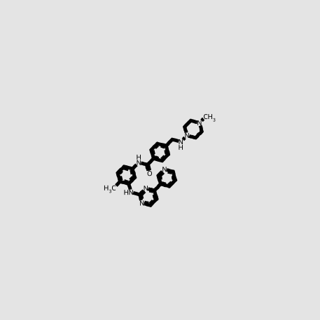 Cc1ccc(NC(=O)c2ccc(CNN3CCN(C)CC3)cc2)cc1Nc1nccc(-c2cccnc2)n1